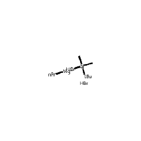 Br.CC(C)(C)[Si](C)(C)O.CC[CH2][Mg+2]